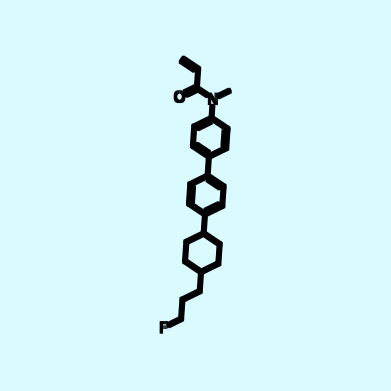 C=CC(=O)N(C)c1ccc(-c2ccc(C3CCC(CCCF)CC3)cc2)cc1